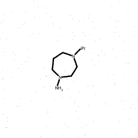 CC(C)N1CCCN(N)CC1